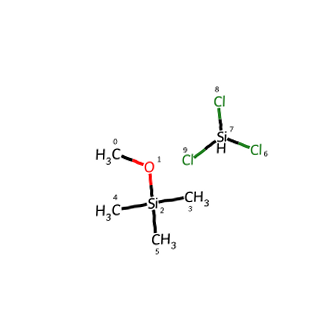 CO[Si](C)(C)C.Cl[SiH](Cl)Cl